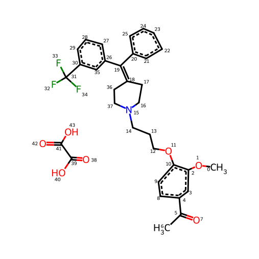 COc1cc(C(C)=O)ccc1OCCCN1CCC(=C(c2ccccc2)c2cccc(C(F)(F)F)c2)CC1.O=C(O)C(=O)O